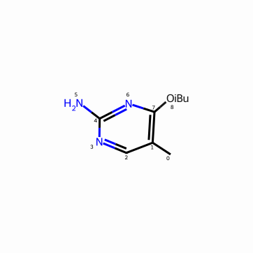 Cc1cnc(N)nc1OCC(C)C